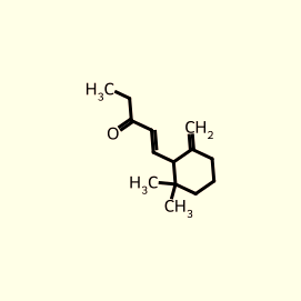 C=C1CCCC(C)(C)C1/C=C/C(=O)CC